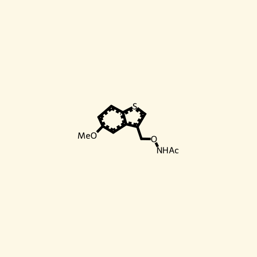 COc1ccc2scc(CONC(C)=O)c2c1